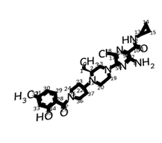 CC[C@H]1CN(c2nc(N)c(C(=O)NC3CC3)nc2Cl)CCN1C1CCN(C(=O)c2ccc(C)cc2O)CC1